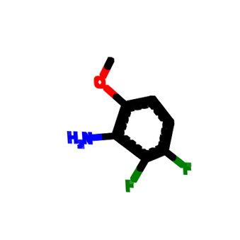 COc1ccc(F)c(F)c1N